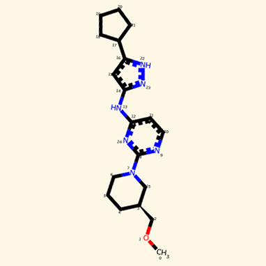 COC[C@H]1CCCN(c2nccc(Nc3cc(C4CCCC4)[nH]n3)n2)C1